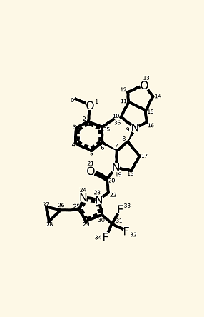 COc1cccc([C@H]2[C@@H](N3CC4COCC4C3)CCN2C(=O)Cn2nc(C3CC3)cc2C(F)(F)F)c1C